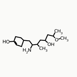 COC(C)CC(O)CC(C)C(N)CC1CC=C(O)CC1